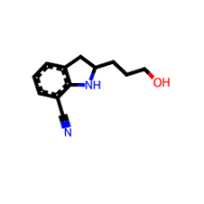 N#Cc1cccc2c1NC(CCCO)C2